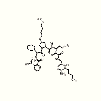 CCCCC(NC(=O)CNC(=O)C(=O)C(CCC)NC(=O)[C@@H]1C[C@@H](OCOCCOC)CN1C(=O)C(NC(=O)c1ccccc1C(=O)O)C1CCCCC1)C(N)=O